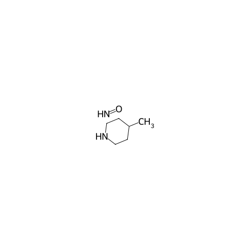 CC1CCNCC1.N=O